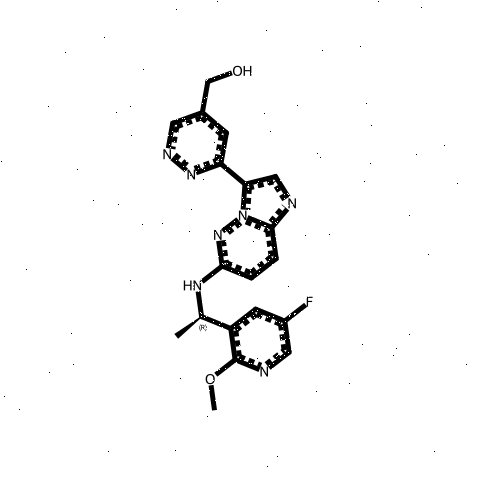 COc1ncc(F)cc1[C@@H](C)Nc1ccc2ncc(-c3cc(CO)cnn3)n2n1